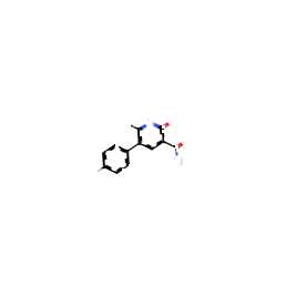 NC(=O)c1cc(-c2ccc(F)cc2)c(C(F)(F)F)[nH]c1=O